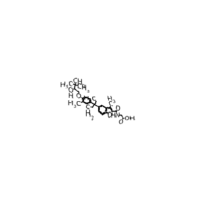 CCC(CC)(c1ccc(OCC(O)C(C)(C)C)c(C)c1)c1ccc2oc(C(=O)NCC(=O)O)c(C)c2c1